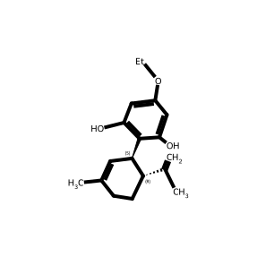 C=C(C)[C@@H]1CCC(C)=C[C@H]1c1c(O)cc(OCC)cc1O